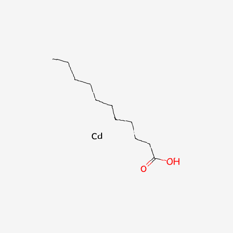 CCCCCCCCCCC(=O)O.[Cd]